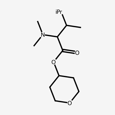 CC(C)C(C)C(C(=O)OC1CCOCC1)N(C)C